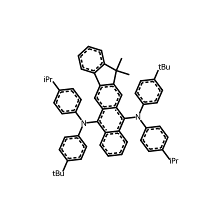 CC(C)c1ccc(N(c2ccc(C(C)(C)C)cc2)c2c3ccccc3c(N(c3ccc(C(C)C)cc3)c3ccc(C(C)(C)C)cc3)c3cc4c(cc23)-c2ccccc2C4(C)C)cc1